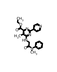 CCOC(=O)c1nc(-c2ccncc2)nc(NCC(=O)N(C)c2ccccc2)c1C